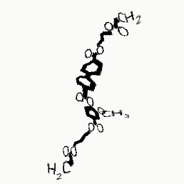 C=CC(=O)OCCCCOC(=O)c1ccc(OC(=O)C2CCC(C3CCC(C(=O)OCCCCOC(=O)C=C)CC3)CC2)c(OC)c1